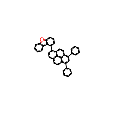 c1ccc(-c2cc(-c3ccccc3)c3ccc4c(-c5cccc6oc7ccccc7c56)ccc5ccc2c3c54)cc1